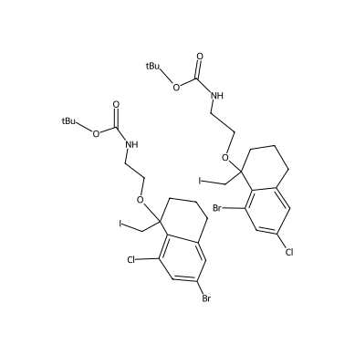 CC(C)(C)OC(=O)NCCOC1(CI)CCCc2cc(Br)cc(Cl)c21.CC(C)(C)OC(=O)NCCOC1(CI)CCCc2cc(Cl)cc(Br)c21